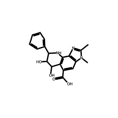 Cc1nc2c3c(c(C(=O)O)cc2n1C)C(O)C(O)C(c1ccccc1)N3